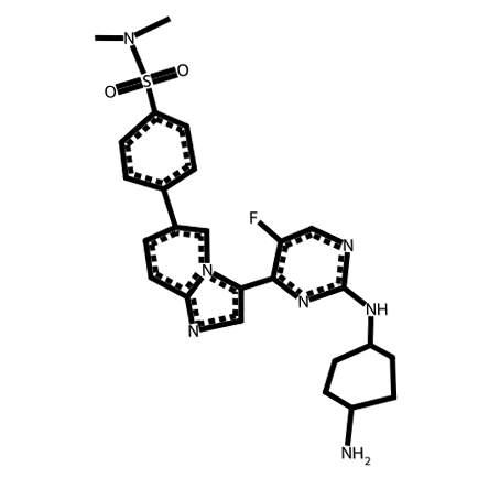 CN(C)S(=O)(=O)c1ccc(-c2ccc3ncc(-c4nc(NC5CCC(N)CC5)ncc4F)n3c2)cc1